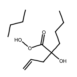 C=CCC(O)(CCCC)C(=O)OO.CCCC